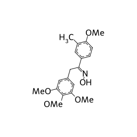 COc1ccc(C(Cc2cc(OC)c(OC)c(OC)c2)=NO)cc1C